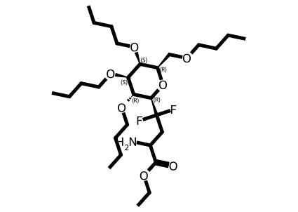 CCCCOC[C@H]1O[C@@H](C(F)(F)CC(N)C(=O)OCC)[C@H](OCCCC)[C@@H](OCCCC)[C@H]1OCCCC